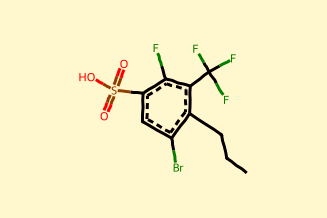 CCCc1c(Br)cc(S(=O)(=O)O)c(F)c1C(F)(F)F